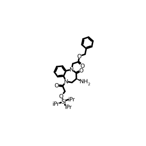 CC(C)[Si](OCC(=O)N1C[C@H](N)C(=O)N(CC(=O)OCc2ccccc2)c2ccccc21)(C(C)C)C(C)C